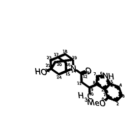 COc1cccc2[nH]cc(C(C)CC(=O)N3C4CC5CC3CC(O)(C5)C4)c12